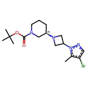 Cc1c(Br)cnn1C1CN([C@@H]2CCCN(C(=O)OC(C)(C)C)C2)C1